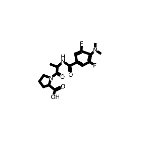 CC(NC(=O)c1cc(F)c(N(C)C)c(F)c1)C(=O)N1CCCC1C(=O)O